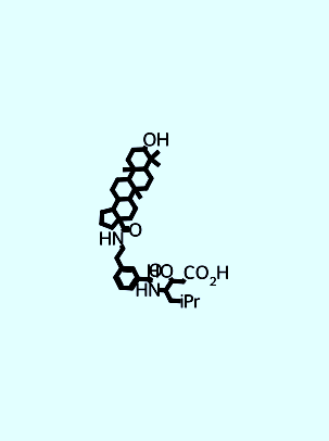 CC(C)CC(NC(=O)c1cccc(CCNC(=O)C23CCCC2C2CCC4C(C)(CCC5C(C)(C)C(O)CCC54C)C2CC3)c1)C(O)CC(=O)O